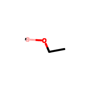 [B]OCC